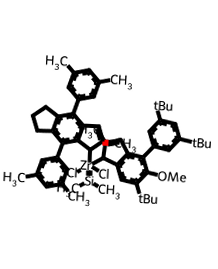 COc1c(C(C)(C)C)cc2c(c1-c1cc(C(C)(C)C)cc(C(C)(C)C)c1)C=C(C)[CH]2[Zr]([Cl])([Cl])([CH]1C(C)=Cc2c(-c3cc(C)cc(C)c3)c3c(c(-c4cc(C)cc(C)c4)c21)CCC3)=[Si](C)C